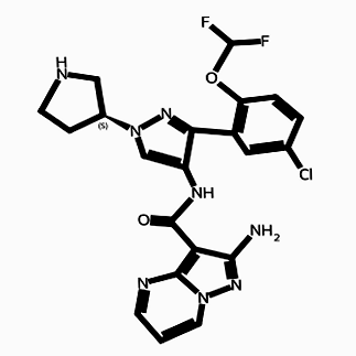 Nc1nn2cccnc2c1C(=O)Nc1cn([C@H]2CCNC2)nc1-c1cc(Cl)ccc1OC(F)F